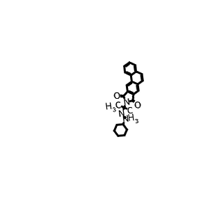 CC(C)(N=NC1CCCCC1)N1C(=O)c2cc3ccc4ccccc4c3cc2C1=O